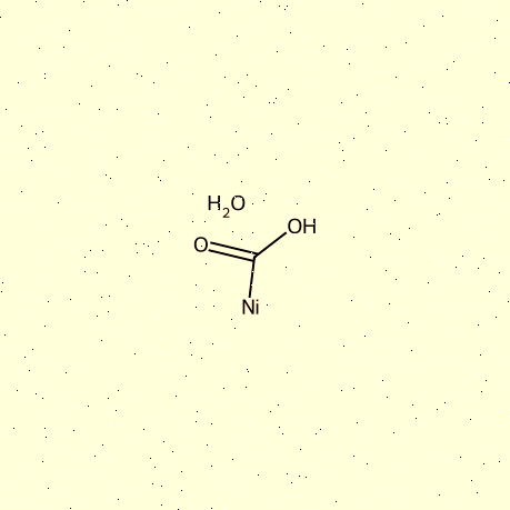 O.O=[C](O)[Ni]